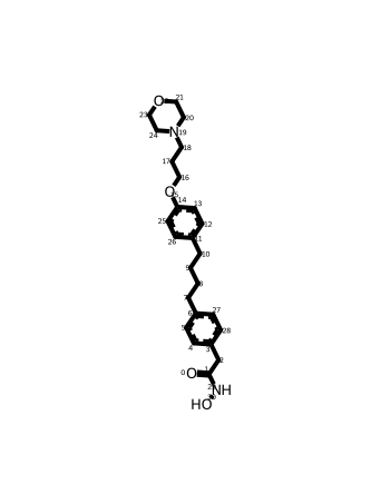 O=C(Cc1ccc(CCCCc2ccc(OCCCN3CCOCC3)cc2)cc1)NO